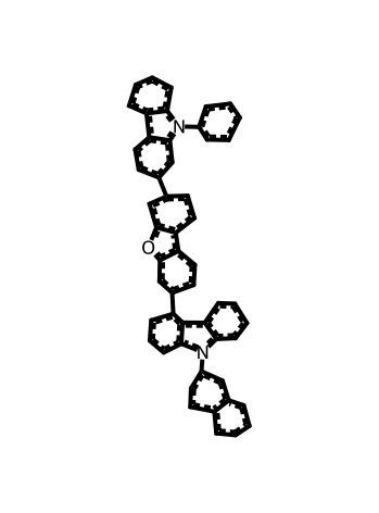 c1ccc(-n2c3ccccc3c3ccc(-c4ccc5c(c4)oc4cc(-c6cccc7c6c6ccccc6n7-c6ccc7ccccc7c6)ccc45)cc32)cc1